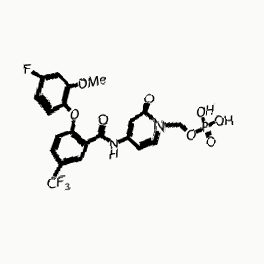 COc1cc(F)ccc1Oc1ccc(C(F)(F)F)cc1C(=O)Nc1ccn(COP(=O)(O)O)c(=O)c1